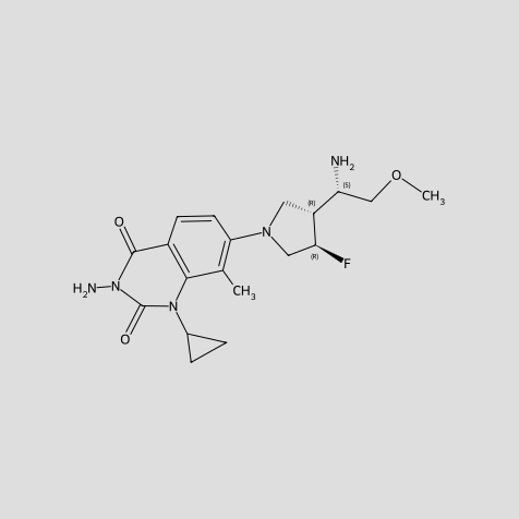 COC[C@@H](N)[C@H]1CN(c2ccc3c(=O)n(N)c(=O)n(C4CC4)c3c2C)C[C@@H]1F